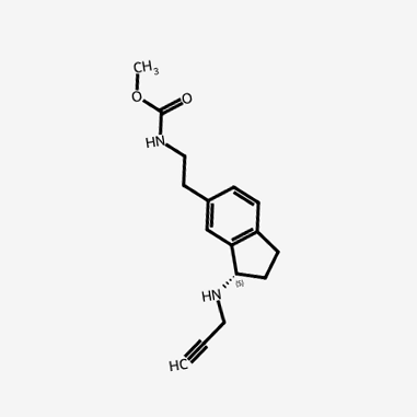 C#CCN[C@H]1CCc2ccc(CCNC(=O)OC)cc21